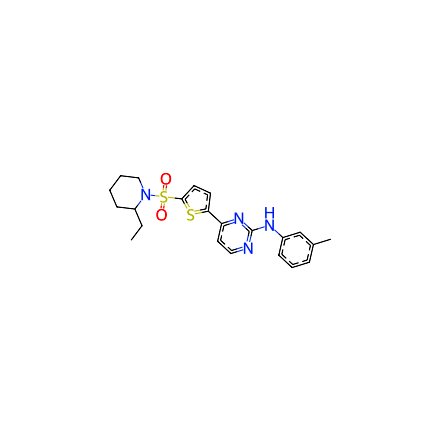 CCC1CCCCN1S(=O)(=O)c1ccc(-c2ccnc(Nc3cccc(C)c3)n2)s1